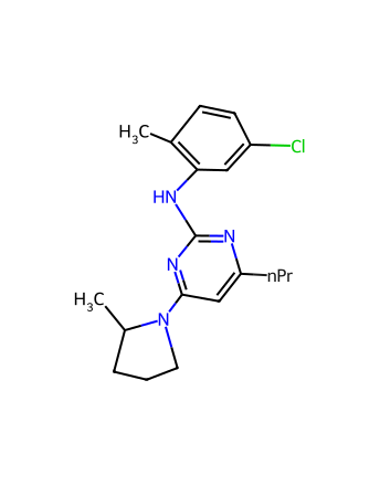 CCCc1cc(N2CCCC2C)nc(Nc2cc(Cl)ccc2C)n1